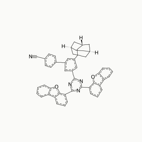 N#Cc1ccc(-c2cc(-c3nc(-c4cccc5c4oc4ccccc45)nc(-c4cccc5c4oc4ccccc45)n3)cc(C34C[C@H]5C[C@@H](C3)C[C@@H](C4)C5)c2)cc1